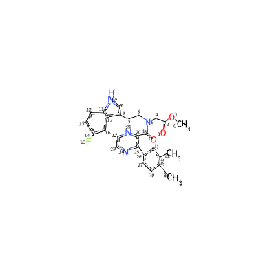 COC(=O)CN(CCc1c[nH]c2ccc(F)cc12)C(=O)c1nccnc1-c1ccc(C)c(C)c1